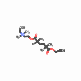 C#CCOC(=O)C(C)(C)CCC(C)(CC)C(=O)OCC[N+](C)(C)CC(=O)[O-]